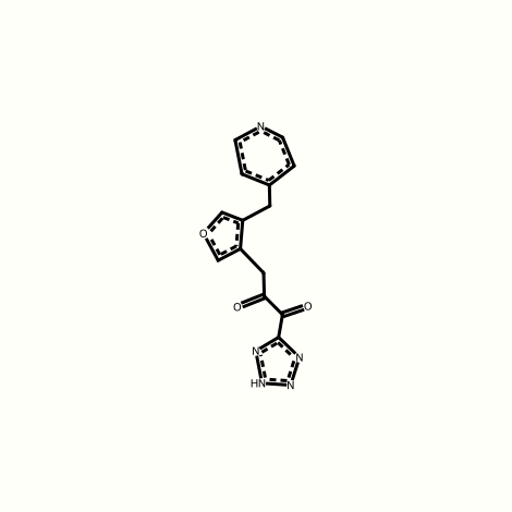 O=C(Cc1cocc1Cc1ccncc1)C(=O)c1nn[nH]n1